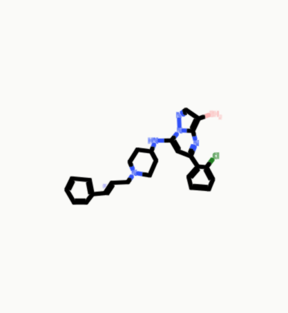 Bc1cnn2c(NC3CCN(C/C=C/c4ccccc4)CC3)cc(-c3ccccc3Cl)nc12